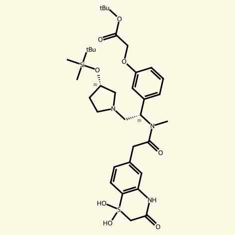 CN(C(=O)Cc1ccc2c(c1)NC(=O)CS2(O)O)[C@H](CN1CC[C@H](O[Si](C)(C)C(C)(C)C)C1)c1cccc(OCC(=O)OC(C)(C)C)c1